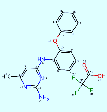 Cc1cc(Nc2ccccc2Oc2ccccc2)nc(N)n1.O=C(O)C(F)(F)F